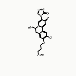 CCCCC1Cc2cc(OCCCOC)c(Cl)cc2-c2cc(=O)c(-n3nn[nH]c3=O)cn21